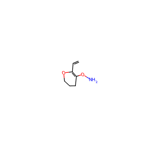 C=CC1=C(ON)CCCO1